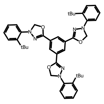 CC(C)(C)c1ccccc1N1COC(c2cc(C3=NN(c4ccccc4C(C)(C)C)CO3)cc(C3=NN(c4ccccc4C(C)(C)C)CO3)c2)=N1